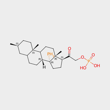 C[C@H]1CC[C@@]2(C)C(CC[C@@H]3C2CC[C@]2(C)[C@@H](C(=O)COP(=O)(O)O)CC[C@@]32P)C1